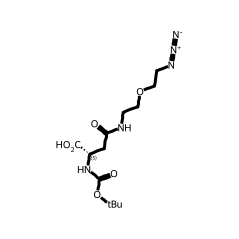 CC(C)(C)OC(=O)N[C@@H](CC(=O)NCCOCCN=[N+]=[N-])C(=O)O